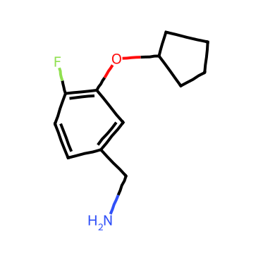 NCc1ccc(F)c(OC2CCCC2)c1